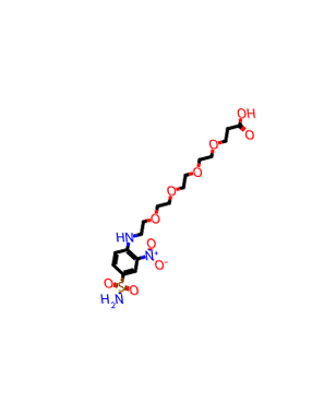 NS(=O)(=O)c1ccc(NCCOCCOCCOCCOCCC(=O)O)c([N+](=O)[O-])c1